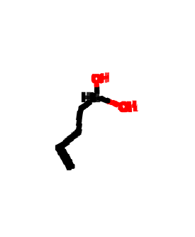 C=CCC[SiH](O)O